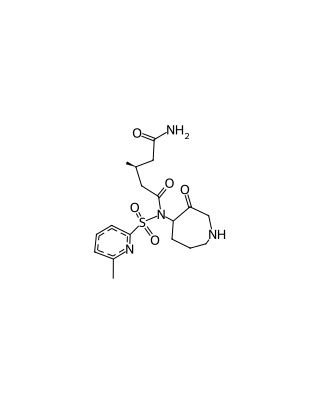 Cc1cccc(S(=O)(=O)N(C(=O)C[C@@H](C)CC(N)=O)C2CCCNCC2=O)n1